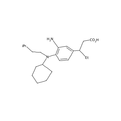 CCC(CC(=O)O)c1ccc(N(CCC(C)C)C2CCCCC2)c(N)c1